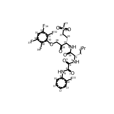 CC(C)C[C@H](NC(=O)C(=O)Nc1ccccc1F)C(=O)N[C@@H](CCS(C)(=O)=O)C(=O)COc1c(F)c(F)cc(F)c1F